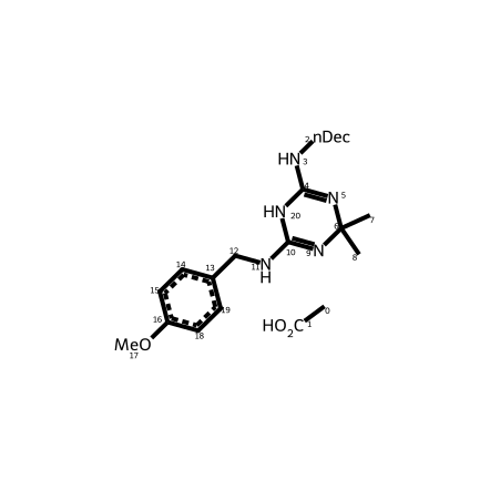 CC(=O)O.CCCCCCCCCCNC1=NC(C)(C)N=C(NCc2ccc(OC)cc2)N1